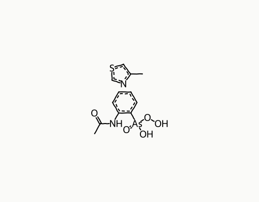 CC(=O)Nc1ccccc1[As](=O)(O)OO.Cc1cscn1